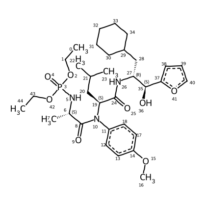 CCOP(=O)(N[C@@H](C)C(=O)N(c1ccc(OC)cc1)[C@@H](CC(C)C)C(=O)N[C@H](CC1CCCCC1)[C@H](O)c1ccco1)OCC